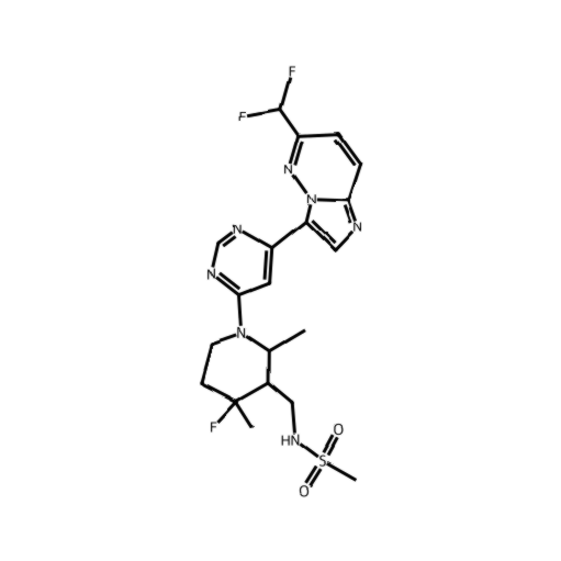 CC1C(CNS(C)(=O)=O)C(C)(F)CCN1c1cc(-c2cnc3ccc(C(F)F)nn23)ncn1